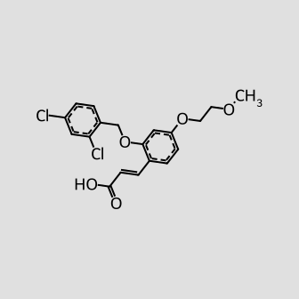 COCCOc1ccc(C=CC(=O)O)c(OCc2ccc(Cl)cc2Cl)c1